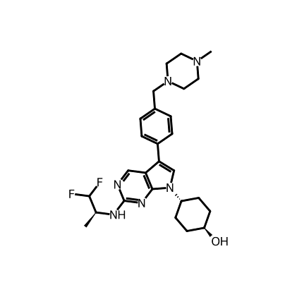 C[C@H](Nc1ncc2c(-c3ccc(CN4CCN(C)CC4)cc3)cn([C@H]3CC[C@H](O)CC3)c2n1)C(F)F